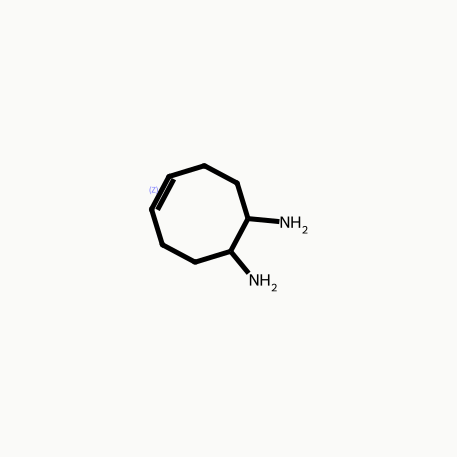 NC1CC/C=C\CCC1N